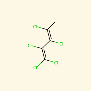 C/C(Cl)=C(\Cl)C(Cl)=C(Cl)Cl